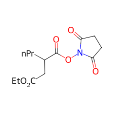 CCCC(CC(=O)OCC)C(=O)ON1C(=O)CCC1=O